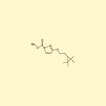 CC(C)(C)OC(=O)n1ccc(OCCC2C(C)(C)C2(C)C)n1